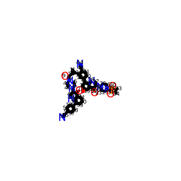 COc1c(N2CCN(C(=O)C3CC3c3cc(-c4cccc5c(OC)c(N6CCN(S(=O)(=O)C(C)C)CC6)cnc45)ccc3C#N)CC2)cnc2c(-c3ccc(C#N)cc3)cccc12